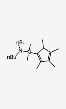 CCCCN(CCCC)[Si](C)(C)C1=C(C)C(C)=C(C)C1C